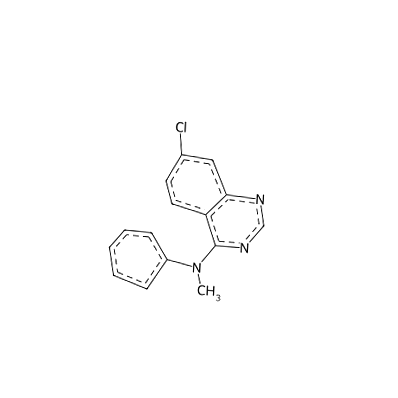 CN(c1ccccc1)c1ncnc2cc(Cl)ccc12